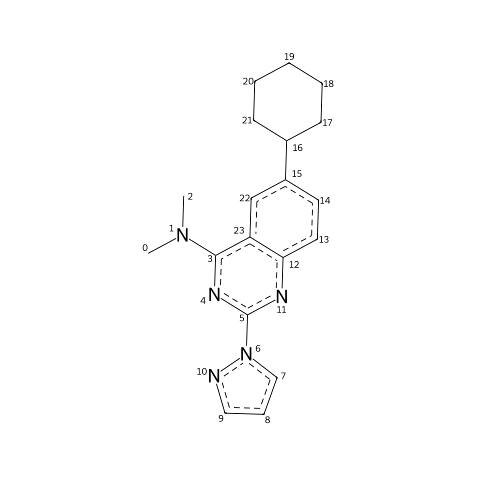 CN(C)c1nc(-n2cccn2)nc2ccc(C3CCCCC3)cc12